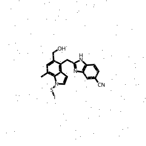 Cc1cc(CO)c(Cc2nc3cc(C#N)ccc3[nH]2)c2ccn(SI)c12